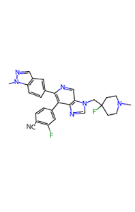 CN1CCC(F)(Cn2cnc3c(-c4ccc(C#N)c(F)c4)c(-c4ccc5c(cnn5C)c4)ncc32)CC1